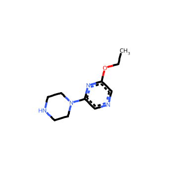 CCOc1cncc(N2CCNCC2)n1